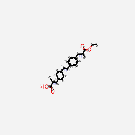 CCOC(=O)/C(C)=C/c1ccc(/C=C/c2ccc(/C=C(\C)C(=O)O)cc2)cc1